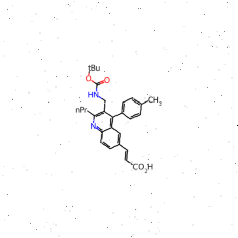 CCCc1nc2ccc(/C=C/C(=O)O)cc2c(-c2ccc(C)cc2)c1CNC(=O)OC(C)(C)C